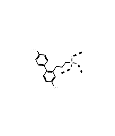 CCCCCCCCCc1ccc(-c2ccc(O)cc2CCC[Si](N=C=S)(N=C=S)N=C=S)cc1